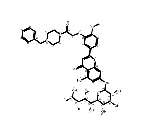 COc1ccc(-c2cc(=O)c3c(O)cc(OC4O[C@H]([C@H](O)[C@@H](O)[C@H](O)[C@@H](C)O)[C@@H](O)[C@H](O)[C@H]4O)cc3o2)cc1OCC(=O)N1CCN(Cc2ccccc2)CC1